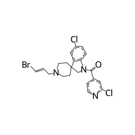 O=C(c1ccnc(Cl)c1)N1CC2(CCN(C/C=C/Br)CC2)c2cc(Cl)ccc21